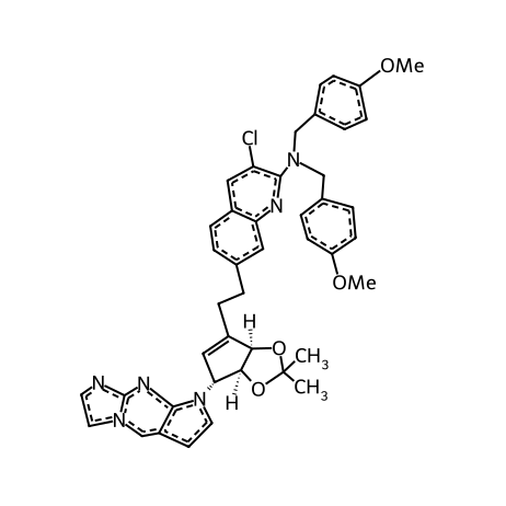 COc1ccc(CN(Cc2ccc(OC)cc2)c2nc3cc(CCC4=C[C@@H](n5ccc6cn7ccnc7nc65)[C@@H]5OC(C)(C)O[C@H]45)ccc3cc2Cl)cc1